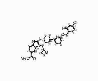 COC(=O)c1ccc2nc(CC3CC=C(c4cccc(OCc5ccc(Cl)cc5F)n4)CC3)n(CC3CCO3)c2n1